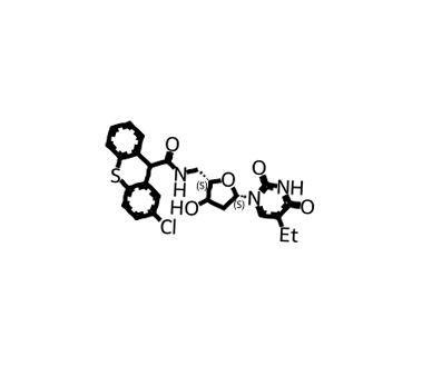 CCc1cn([C@@H]2CC(O)[C@H](CNC(=O)C3c4ccccc4Sc4ccc(Cl)cc43)O2)c(=O)[nH]c1=O